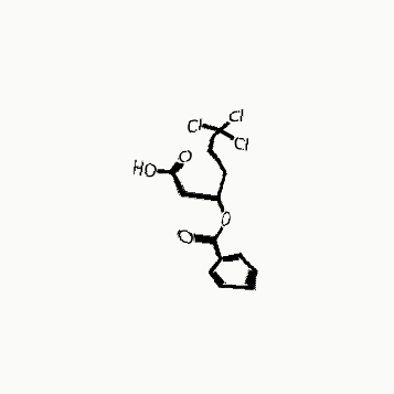 O=C(O)CC(CCC(Cl)(Cl)Cl)OC(=O)c1ccccc1